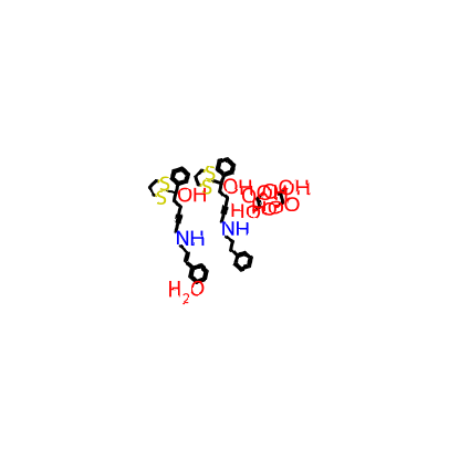 O.O=C(O)C(=O)O.O=C(O)C(=O)O.OC(CCC#CCNCCCc1ccccc1)(c1ccccc1)C1SCCCS1.OC(CCC#CCNCCCc1ccccc1)(c1ccccc1)C1SCCCS1